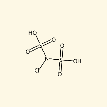 O=S(=O)(O)N(Cl)S(=O)(=O)O